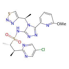 COc1cccc(-c2nnc(NS(=O)(=O)[C@@H](C)[C@H](C)c3ncc(Cl)cn3)n2[C@H](C)c2csnn2)n1